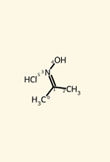 CC(C)=NO.Cl